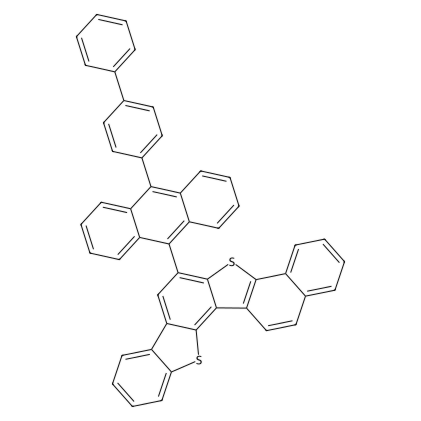 c1ccc(-c2ccc(-c3c4ccccc4c(-c4cc5c6ccccc6sc5c5c4sc4c6ccccc6ccc45)c4ccccc34)cc2)cc1